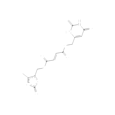 C=C1NC(=O)C=C(COC(=O)/C=C/C(=O)OCc2oc(=O)oc2C)N1